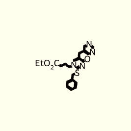 CCOC(=O)CCCn1cc(Cc2cncnc2)c(=O)nc1SCc1ccccc1